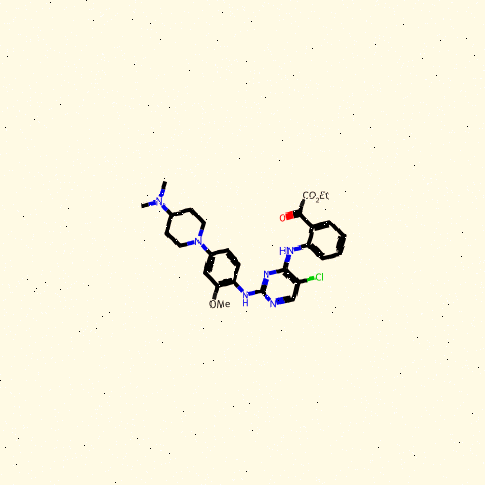 CCOC(=O)C(=O)c1ccccc1Nc1nc(Nc2ccc(N3CCC(N(C)C)CC3)cc2OC)ncc1Cl